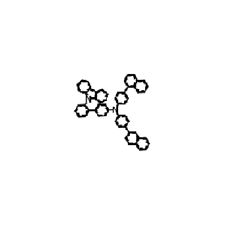 c1ccc(-n2c3ccccc3c3ccccc32)c(-c2ccc(N(c3ccc(-c4ccc5ccccc5c4)cc3)c3ccc(-c4cccc5ccccc45)cc3)cc2)c1